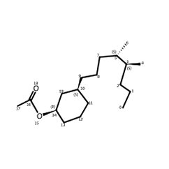 CCC[C@H](C)[C@@H](C)CCC[C@H]1CCC[C@@H](OC(C)=O)C1